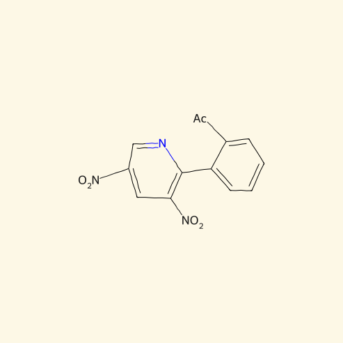 CC(=O)c1ccccc1-c1ncc([N+](=O)[O-])cc1[N+](=O)[O-]